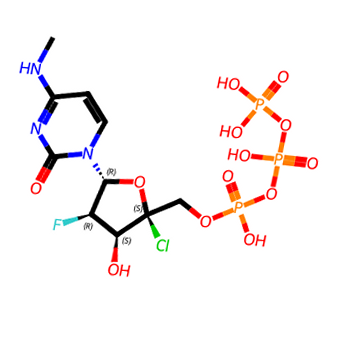 CNc1ccn([C@@H]2O[C@](Cl)(COP(=O)(O)OP(=O)(O)OP(=O)(O)O)[C@@H](O)[C@H]2F)c(=O)n1